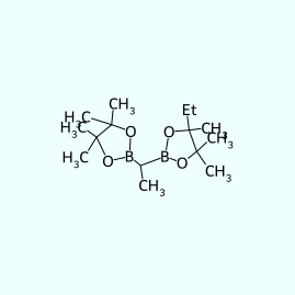 CCC1(C)OB(C(C)B2OC(C)(C)C(C)(C)O2)OC1(C)C